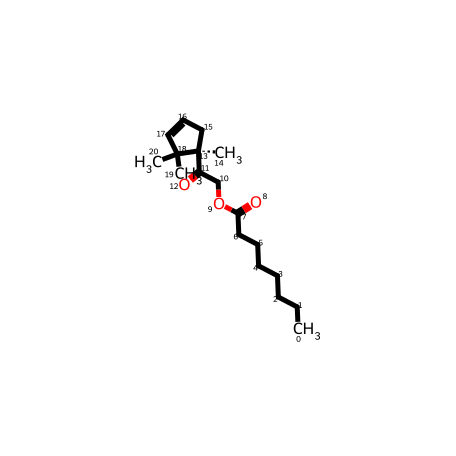 CCCCCCCC(=O)OCC(=O)[C@]1(C)CC=CC1(C)C